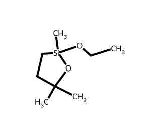 CCO[Si]1(C)CCC(C)(C)O1